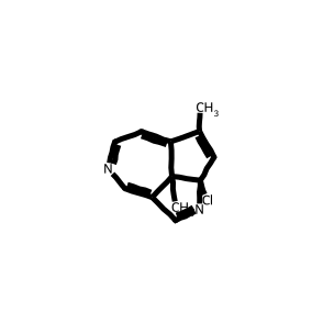 CC1=CC2(Cl)N=CC3=CN=CC=C1C32C